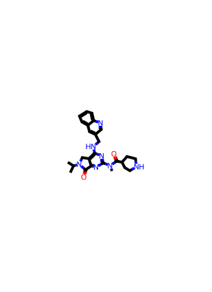 CC(C)N1Cc2c(NCc3cnc4ccccc4c3)nc(N(C)C(=O)C3CCNCC3)nc2C1=O